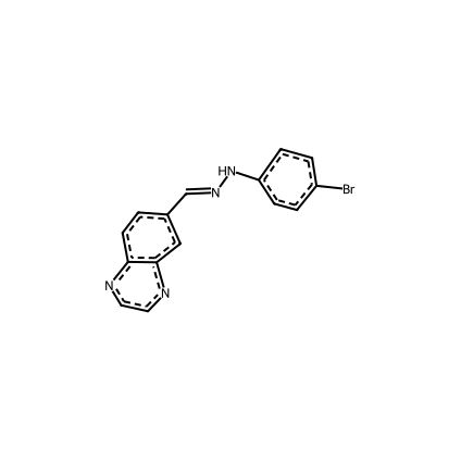 Brc1ccc(NN=Cc2ccc3nccnc3c2)cc1